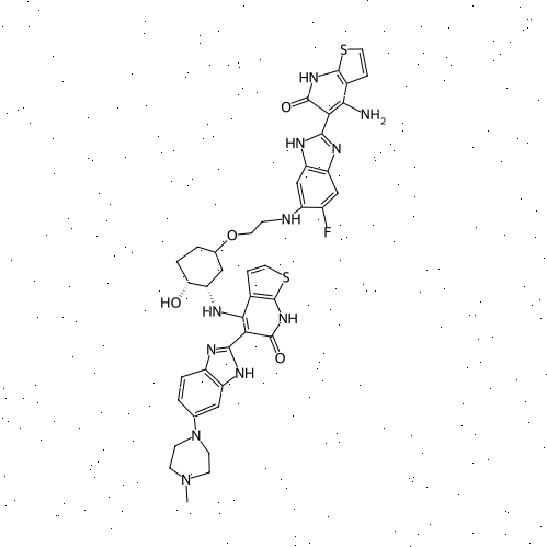 CN1CCN(c2ccc3nc(-c4c(N[C@H]5CC(OCCNc6cc7[nH]c(-c8c(N)c9ccsc9[nH]c8=O)nc7cc6F)CC[C@H]5O)c5ccsc5[nH]c4=O)[nH]c3c2)CC1